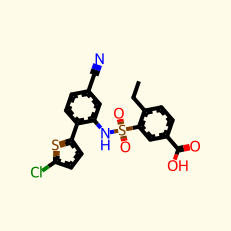 CCc1ccc(C(=O)O)cc1S(=O)(=O)Nc1cc(C#N)ccc1-c1ccc(Cl)s1